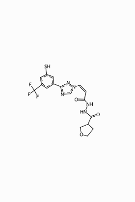 O=C(/C=C\n1cnc(-c2cc(S)cc(C(F)(F)F)c2)n1)NNC(=O)C1CCOC1